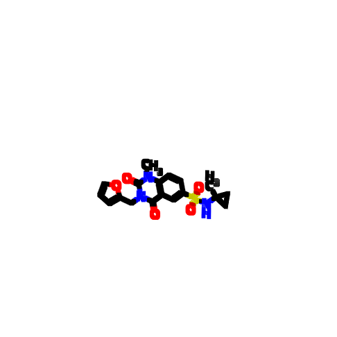 Cn1c(=O)n(Cc2ccco2)c(=O)c2cc(S(=O)(=O)NC3(C)CC3)ccc21